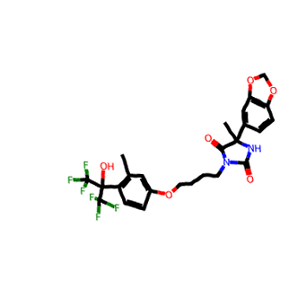 Cc1cc(OCCCCN2C(=O)NC(C)(c3ccc4c(c3)OCO4)C2=O)ccc1C(O)(C(F)(F)F)C(F)(F)F